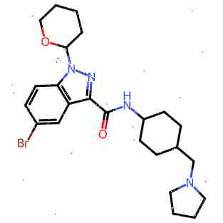 O=C(NC1CCC(CN2CCCC2)CC1)c1nn(C2CCCCO2)c2ccc(Br)cc12